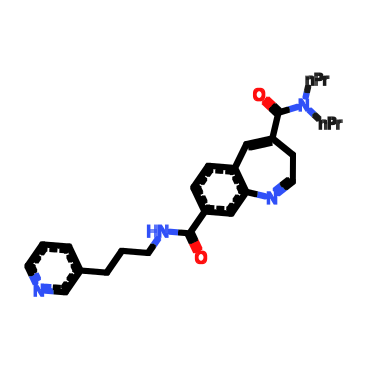 CCCN(CCC)C(=O)C1=Cc2ccc(C(=O)NCCCc3cccnc3)cc2N=CC1